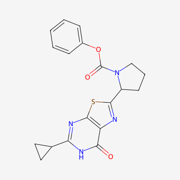 O=C(Oc1ccccc1)N1CCCC1c1nc2c(=O)[nH]c(C3CC3)nc2s1